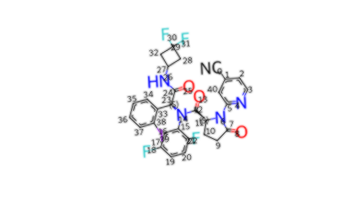 N#Cc1ccnc(N2C(=O)CC[C@H]2C(=O)N(c2cc(F)ccc2F)[C@H](C(=O)NC2CC(F)(F)C2)c2ccccc2I)c1